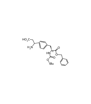 CC(C)(C)OC(=O)N[C@@H](Cc1ccc(C(N)CC(=O)O)cc1)C(=O)OCc1ccccc1